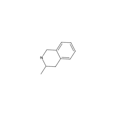 CC1Cc2ccccc2C[N]1